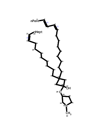 CCCCC/C=C/C=C\CCCCCCCCC1(CCCCCCCC/C=C\CCCCCCC)CC(O)(OC2CCN(C)C2)C1